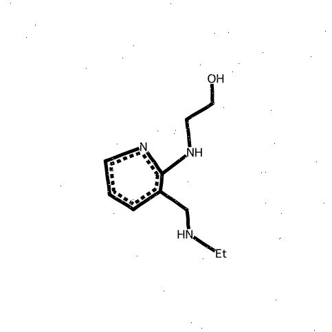 CCNCc1cccnc1NCCO